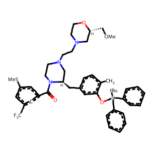 COC[C@@H]1CN(CCN2CCN(C(=O)c3cc(SC)cc(C(F)(F)F)c3)[C@H](Cc3ccc(C)c(O[Si](c4ccccc4)(c4ccccc4)C(C)(C)C)c3)C2)CCO1